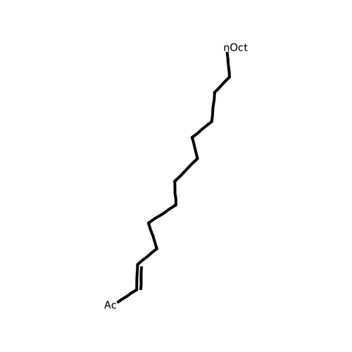 CCCCCCCCCCCCCCCCCC=CC(C)=O